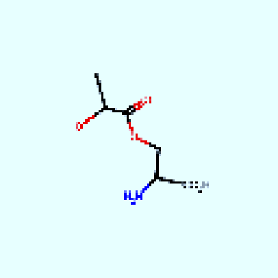 CC(O)C(=O)OCC(N)C(=O)O